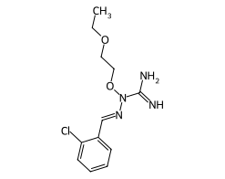 CCOCCON(/N=C/c1ccccc1Cl)C(=N)N